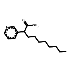 CCCCCCCCC(C(N)=O)c1cccnc1